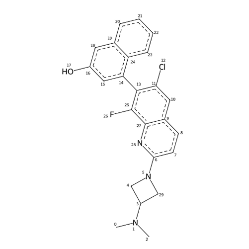 CN(C)C1CN(c2ccc3cc(Cl)c(-c4cc(O)cc5ccccc45)c(F)c3n2)C1